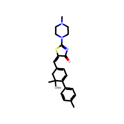 COC1(C)CC(C=C2SC(N3CCN(C)CC3)=NC2=O)=CC=C1c1ccc(C)cc1